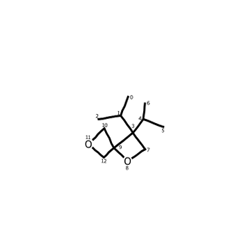 CC(C)C1(C(C)C)COC12COC2